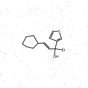 CCC(O)(C=CC1CCCCC1)c1ccsc1